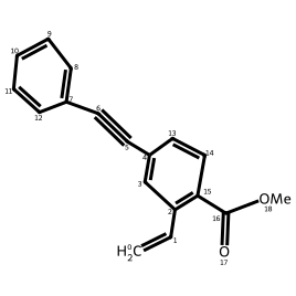 C=Cc1cc(C#Cc2ccccc2)ccc1C(=O)OC